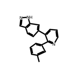 Cc1cccc(-c2ncccc2-c2ccc3cn[nH]c3c2)c1